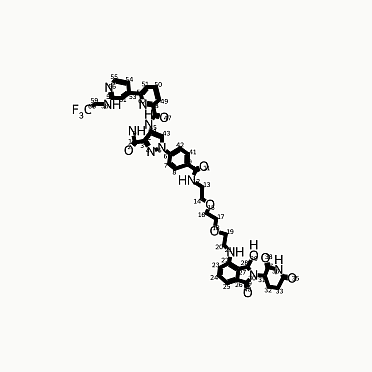 NC(=O)c1nn(-c2ccc(C(=O)NCCOCCOCCNc3cccc4c3C(O)N(C3CCC(=O)NC3=O)C4=O)cc2)cc1NC(=O)c1cccc(-c2ccnc(NCC(F)(F)F)c2)n1